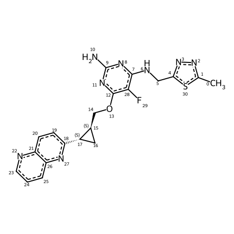 Cc1nnc(CNc2nc(N)nc(OC[C@H]3C[C@@H]3c3ccc4ncccc4n3)c2F)s1